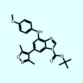 COc1ccc(Nc2cc(-c3c(C)noc3C)cc3c2ncn3C(=O)OC(C)(C)C)cc1